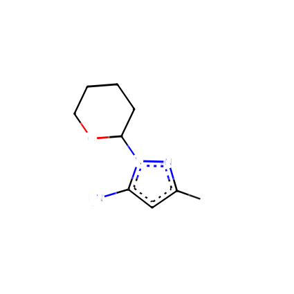 Nc1cc(C(F)(F)F)nn1C1CCCCO1